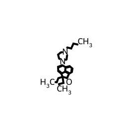 CCCCCN1CCCN(c2ccc3c4c(cccc24)C(=O)C3(CCC)CCC)CC1